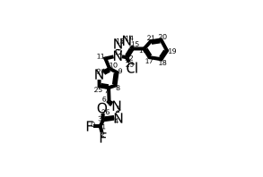 FC(F)c1nnc(-c2ccc(Cn3nnc(-c4ccccc4)c3Cl)nc2)o1